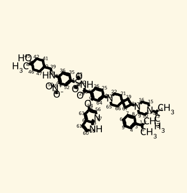 CC(C)c1ccccc1[C@H]1CN(C(C)C)CCN1C1CC2(CCN(c3ccc(C(=O)NS(=O)(=O)c4ccc(NCC5CCC(C)(O)CC5)c([N+](=O)[O-])c4)c(Oc4cnc5[nH]ccc5c4)c3)CC2)C1